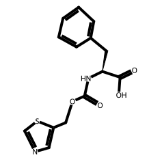 O=C(N[C@@H](Cc1ccccc1)C(=O)O)OCc1cncs1